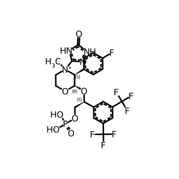 C[N+]1(c2n[nH]c(=O)[nH]2)CCO[C@H](O[C@H](COP(=O)(O)O)c2cc(C(F)(F)F)cc(C(F)(F)F)c2)[C@@H]1c1ccc(F)cc1